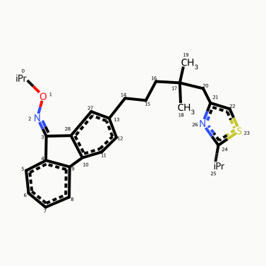 CC(C)O/N=C1/c2ccccc2-c2ccc(CCCC(C)(C)Cc3csc(C(C)C)n3)cc21